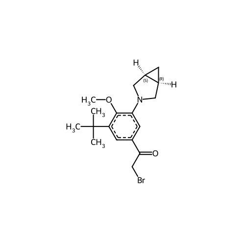 COc1c(N2C[C@H]3C[C@H]3C2)cc(C(=O)CBr)cc1C(C)(C)C